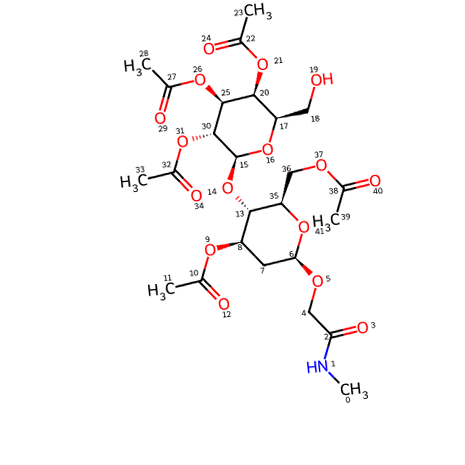 CNC(=O)CO[C@H]1C[C@@H](OC(C)=O)[C@H](O[C@@H]2O[C@H](CO)[C@H](OC(C)=O)[C@H](OC(C)=O)[C@H]2OC(C)=O)[C@@H](COC(C)=O)O1